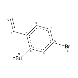 C=Cc1ccc(Br)cc1CCCC